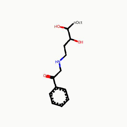 CCCCCCCCC(O)C(O)CCNCC(=O)c1ccccc1